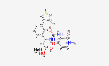 Cc1cscc1-c1cccc(C(CC(=O)O)NC(=O)NC2C(=O)C=CN(C)C2=O)c1.[NaH]